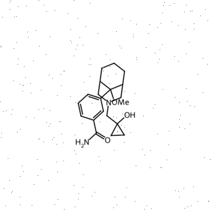 COC1(c2cccc(C(N)=O)c2)C2CCCC1CN(CC1(O)CC1)C2